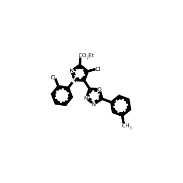 CCOC(=O)c1nn(-c2ccccc2Cl)c(-c2nnc(-c3cccc(C)c3)o2)c1Cl